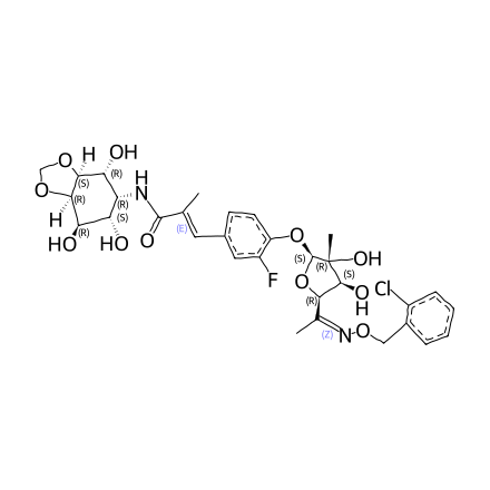 C/C(=N/OCc1ccccc1Cl)[C@H]1O[C@@H](Oc2ccc(/C=C(\C)C(=O)N[C@@H]3[C@H](O)[C@@H](O)[C@H]4OCO[C@H]4[C@@H]3O)cc2F)[C@](C)(O)[C@H]1O